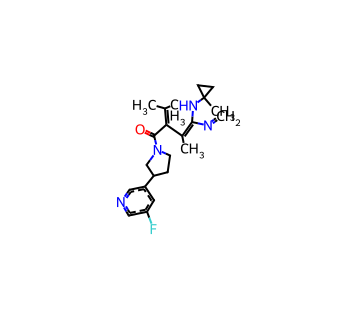 C=N/C(NC1(C)CC1)=C(\C)C(C(=O)N1CCC(c2cncc(F)c2)C1)=C(C)C